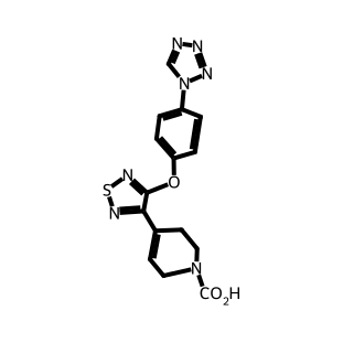 O=C(O)N1CC=C(c2nsnc2Oc2ccc(-n3cnnn3)cc2)CC1